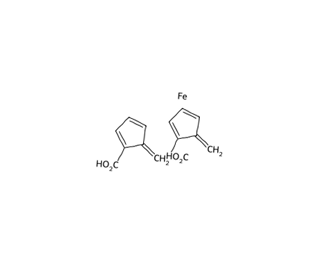 C=C1C=CC=C1C(=O)O.C=C1C=CC=C1C(=O)O.[Fe]